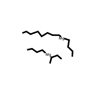 CCCCCCC[CH2][Mg][CH2]CCC.CCC[CH2][Mg][CH](C)CC